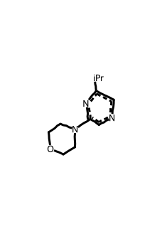 CC(C)c1cncc(N2CCOCC2)n1